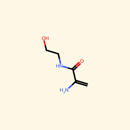 C=C(N)C(=O)NCCO